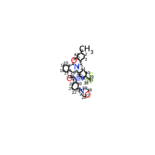 Cc1ccc(CN2C(=O)c3ccccc3[C@@H](C(=O)Nc3cccc(N4CCOCC4)c3)[C@@H]2c2ccc(C(F)(F)F)cc2)cc1